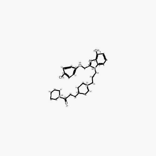 Cc1cccc2c1nc(COc1ccc(Cl)cc1)n2CCCN1CCC(CCC(=O)N2CCCCC2)CC1